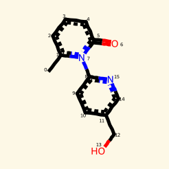 Cc1cccc(=O)n1-c1ccc(CO)cn1